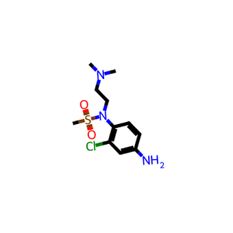 CN(C)CCN(c1ccc(N)cc1Cl)S(C)(=O)=O